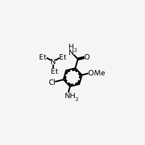 CCN(CC)CC.COc1cc(N)c(Cl)cc1C(N)=O